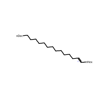 [CH2]CCCCC/C=C/CCCCCCCCCCCCCCCCCCCCC[CH2]